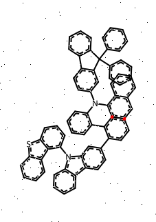 c1ccc(C2(c3ccccc3)c3ccccc3-c3ccc(N(c4ccccc4-c4ccccc4-c4ccc5c6ccccc6n(-c6cccc7sc8ccccc8c67)c5c4)c4cccc5ccccc45)cc32)cc1